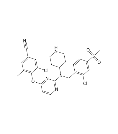 Cc1cc(C#N)cc(Cl)c1Oc1ccnc(N(Cc2ccc(S(C)(=O)=O)cc2Cl)C2CCNCC2)n1